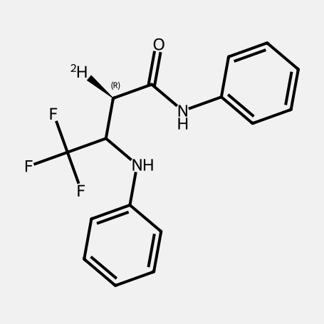 [2H][C@@H](C(=O)Nc1ccccc1)C(Nc1ccccc1)C(F)(F)F